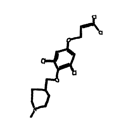 CN1CCC(COc2c(Cl)cc(OCC=C(Cl)Cl)cc2Cl)CC1